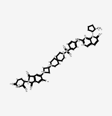 C[C@H]1CCC[C@H]1n1c(=O)ccc2cnc(Nc3ccc(S(=O)(=O)N4CCC5(CCN(C6CN(c7cc8c(cc7F)C(=O)N(C7CCC(=O)NC7=O)C8=O)C6)CC5)CC4)cc3)nc21